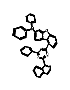 c1ccc(-c2nc(-c3cccc4ccccc34)nc(-c3cccc4oc5cc(N(c6ccccc6)c6ccccc6)ccc5c34)n2)cc1